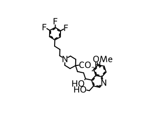 COc1ccc2ncc(CO)c([C@@H](O)CCC3(C(=O)O)CCN(CCCc4cc(F)c(F)c(F)c4)CC3)c2c1